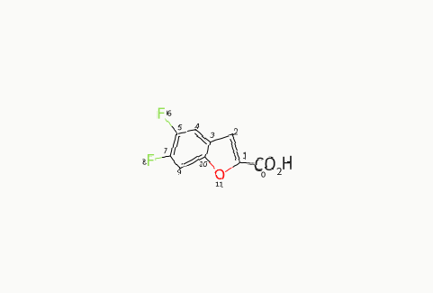 O=C(O)c1cc2cc(F)c(F)cc2o1